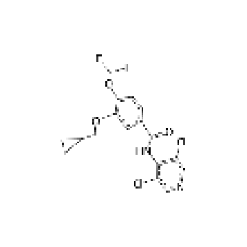 O=C(Nc1c(Cl)cncc1Cl)c1ccc(OC(F)I)c(OCC2CC2)c1